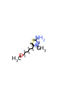 COCCCCCC1=CSC(N)=NN1C